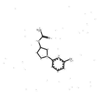 NC(=O)OC1CCN(c2cccc(C(F)(F)F)n2)C1